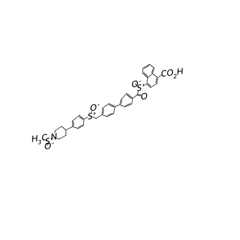 C[S+]([O-])N1CCC(c2ccc([S+]([O-])Cc3ccc(-c4ccc(C(=O)[S+]([O-])c5ccc(C(=O)O)c6ccccc56)cc4)cc3)cc2)CC1